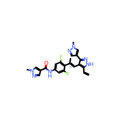 C=Cc1[nH]nc(-c2cnn(C)c2)c1/C=C(\C)c1c(F)cc(NC(=O)c2cnn(C)c2)cc1F